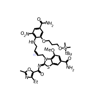 CCc1nc(C)oc1C(=O)N=c1sc2cc(C(N)=O)cc(OC)c2n1C/C=C\CNc1c(OCCCO[Si](C)(C)C(C)(C)C)cc(C(N)=O)cc1[N+](=O)[O-]